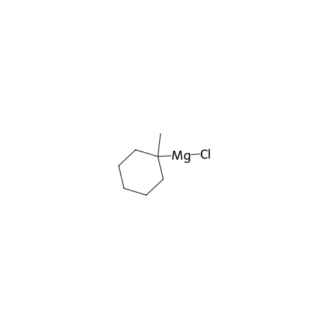 C[C]1([Mg][Cl])CCCCC1